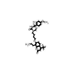 CCCc1c(OCCCCN2COC(C)(c3ccc(OC)cc3)NC2=O)ccc2c(C(F)(F)F)cc(=O)oc12